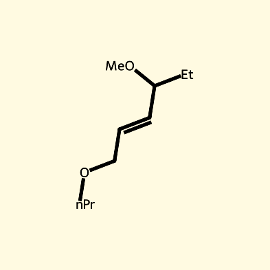 CCCOCC=CC(CC)OC